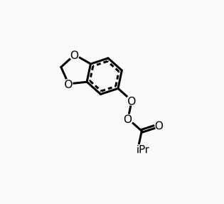 CC(C)C(=O)OOc1ccc2c(c1)OCO2